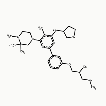 CNCC(O)COc1cccc(-c2nc(NC3CCOC3)c(C)c(N3CCN(C)C(C)(C)C3)n2)c1